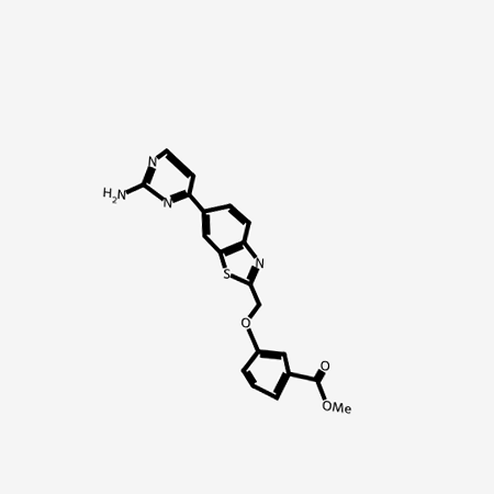 COC(=O)c1cccc(OCc2nc3ccc(-c4ccnc(N)n4)cc3s2)c1